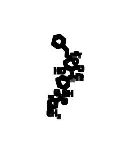 CCC[C@@]1(CCc2ccccc2)CC(O)=C([C@@H](CC)c2cccc(NS(=O)(=O)c3cn(C)cn3)c2)C(=O)O1